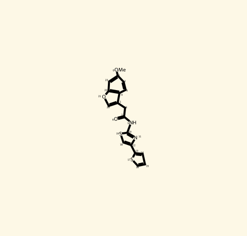 COc1ccc2c(CC(=O)Nc3nc(-c4cccs4)cs3)coc2c1